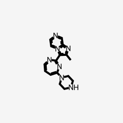 Cc1nc2cnccn2c1C1=NC(N2CCNCC2)=CC=C=N1